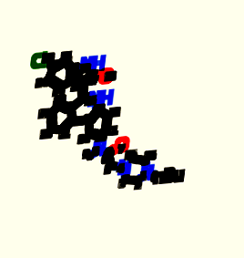 CCCCN1CCN(CC(=O)N(C)c2ccc(N/C(=C3\C(=O)Nc4cc(Cl)ccc43)c3ccccc3)cc2)CC1